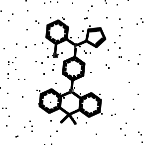 CC1(C)c2ccccc2N(c2ccc(P(c3ccccc3Br)C3C=CC=C3)cc2)c2ccccc21